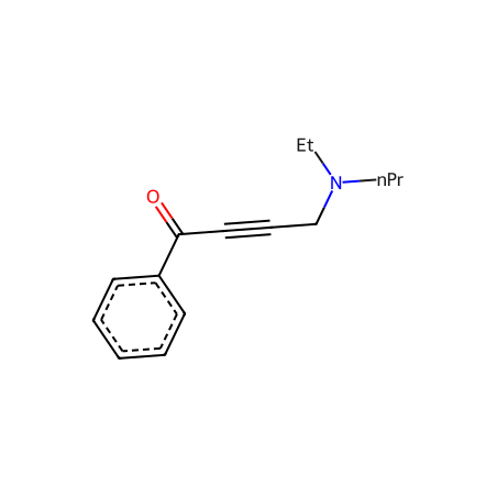 CCCN(CC)CC#CC(=O)c1ccccc1